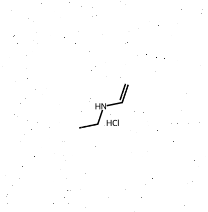 C=CNCC.Cl